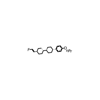 CCCOc1ccc([C@H]2CC[C@H]([C@H]3CC[C@H](C=CF)CC3)CC2)cc1